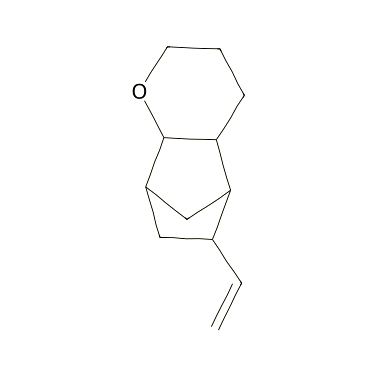 C=CC1CC2CC1C1CCCOC21